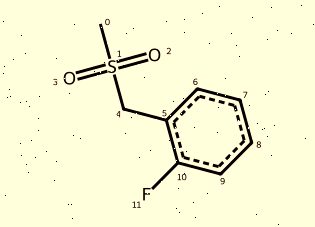 CS(=O)(=O)Cc1ccccc1F